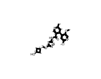 COc1cnc(Cl)cc1-c1cc(C)ncc1C(=O)Nc1nnc(OC[C@H]2C[C@H](O)C2)s1